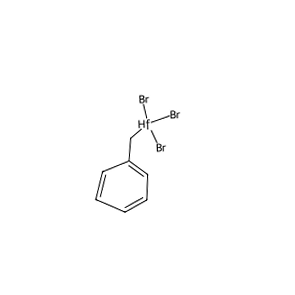 [Br][Hf]([Br])([Br])[CH2]c1ccccc1